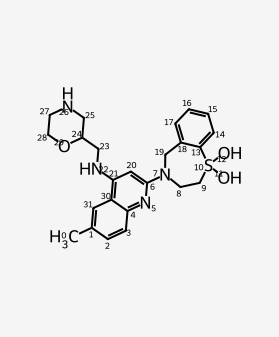 Cc1ccc2nc(N3CCS(O)(O)c4ccccc4C3)cc(NCC3CNCCO3)c2c1